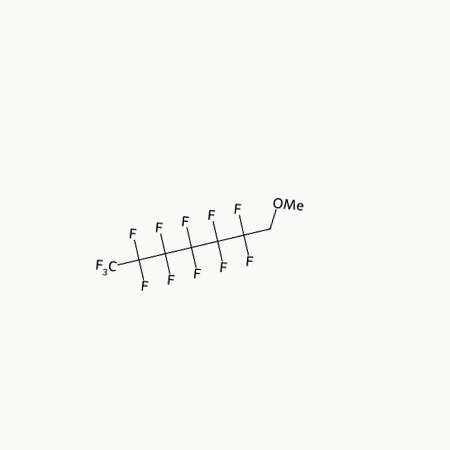 COCC(F)(F)C(F)(F)C(F)(F)C(F)(F)C(F)(F)C(F)(F)F